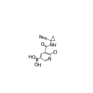 N#CC1(NC(=O)c2cc(B(O)O)cnc2Cl)CC1